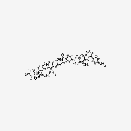 CC[C@H]1CN(Cc2ccc3c(c2)n(C)c(=O)n3C2CCC(=O)NC2=O)CCN1CC1CCN(C(=O)c2ccc(C3CCN([C@@H](C)c4cc5c(-c6ccc(N)nc6)ccnc5n4C)CC3)cc2)CC1